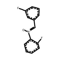 [O-][N+](=Cc1cccc(F)c1)c1ccccc1F